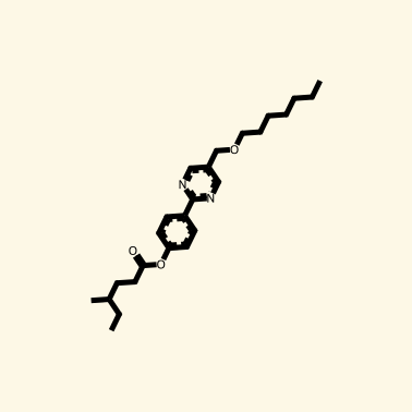 CCCCCCCOCc1cnc(-c2ccc(OC(=O)CCC(C)CC)cc2)nc1